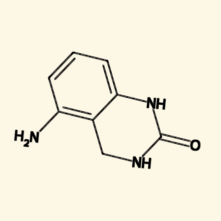 Nc1cccc2c1CNC(=O)N2